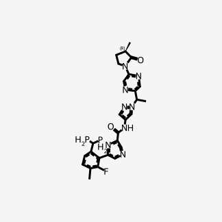 Cc1ccc(C(P)P)c(-c2cncc(C(=O)Nc3cnn(C(C)c4cnc(N5CC[C@@H](C)C5=O)cn4)c3)n2)c1F